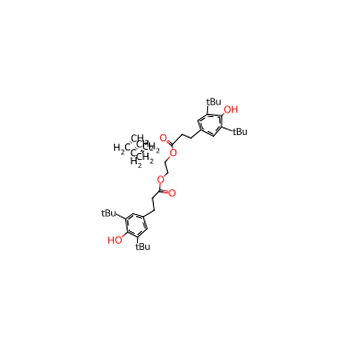 C=C.C=C.C=C.CC(C)(C)c1cc(CCC(=O)OCCOC(=O)CCc2cc(C(C)(C)C)c(O)c(C(C)(C)C)c2)cc(C(C)(C)C)c1O